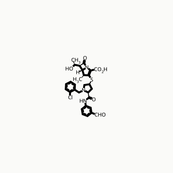 C[C@@H](O)[C@H]1C(=O)N2C(C(=O)O)=C(S[C@H]3C[C@@H](C(=O)Nc4cccc(C=O)c4)N(Cc4ccccc4Cl)C3)[C@H](C)[C@H]12